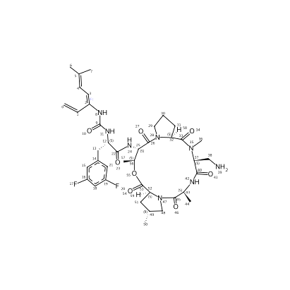 C=C/C(=C\C=C(C)C)NC(=O)N[C@@H](Cc1cc(F)cc(F)c1)C(=O)N[C@@H]1C(=O)N2CCC[C@H]2C(=O)N(C)[C@@H](CN)C(=O)N[C@@H](C)C(=O)N2C[C@H](C)C[C@H]2C(=O)O[C@H]1C